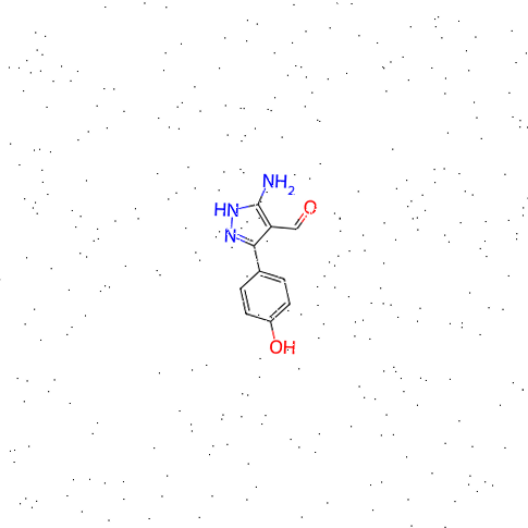 Nc1[nH]nc(-c2ccc(O)cc2)c1C=O